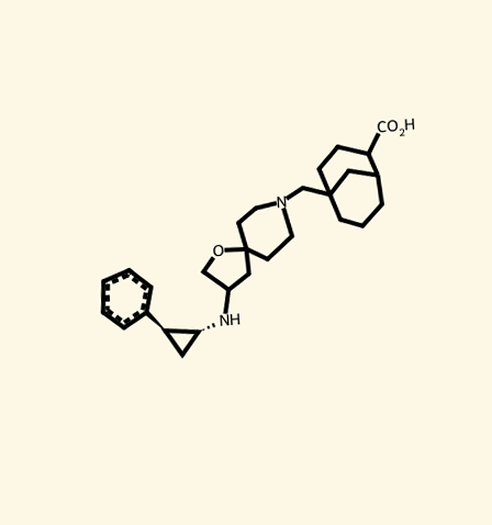 O=C(O)C1CCC2(CN3CCC4(CC3)CC(N[C@@H]3C[C@H]3c3ccccc3)CO4)CCCC1C2